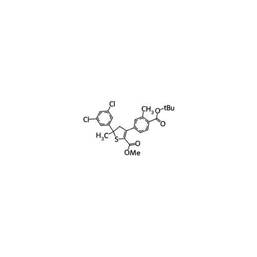 COC(=O)C1=C(c2ccc(C(=O)OC(C)(C)C)c(C)c2)CC(C)(c2cc(Cl)cc(Cl)c2)S1